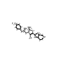 CCC1=C(c2nc3ccncc3s2)SC(N)N1C[C@H](N)Cc1ccc(C(F)(F)F)cc1